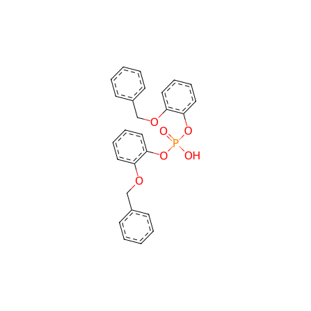 O=P(O)(Oc1ccccc1OCc1ccccc1)Oc1ccccc1OCc1ccccc1